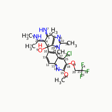 CN/C(C)=C(\C(C)=N)C(O)(c1ccc2nc(OC)c(OCC(F)(F)F)c(Cl)c2c1)c1cnc(C)n1C